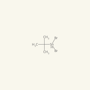 C[C](C)(C)[SnH]([Br])[Br]